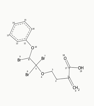 C=C(CCOC(Br)(Br)C(Br)Oc1ccccc1)C(=O)O